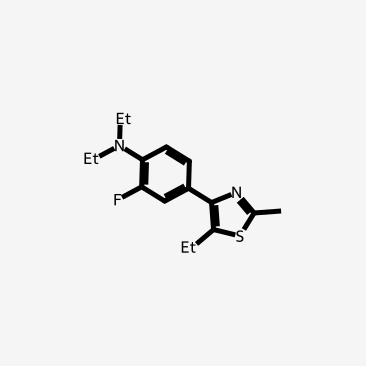 CCc1sc(C)nc1-c1ccc(N(CC)CC)c(F)c1